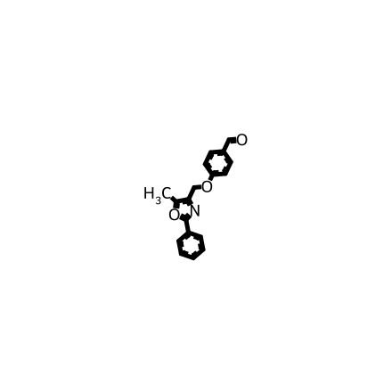 Cc1oc(-c2ccccc2)nc1COc1ccc(C=O)cc1